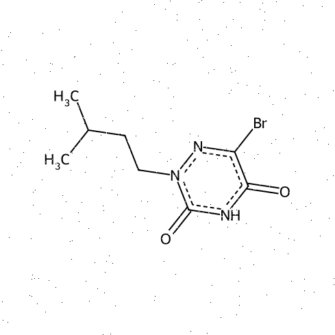 CC(C)CCn1nc(Br)c(=O)[nH]c1=O